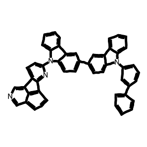 c1ccc(-c2cccc(-n3c4ccccc4c4cc(-c5ccc6c(c5)c5ccccc5n6-c5ccc6c(n5)-c5cccc7cncc-6c57)ccc43)c2)cc1